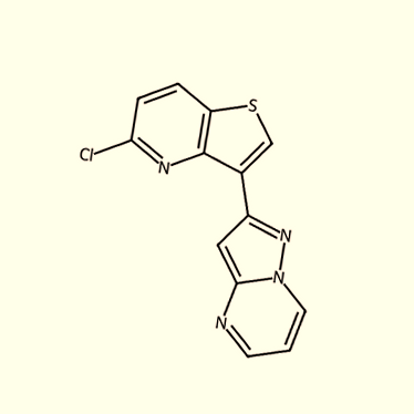 Clc1ccc2scc(-c3cc4ncccn4n3)c2n1